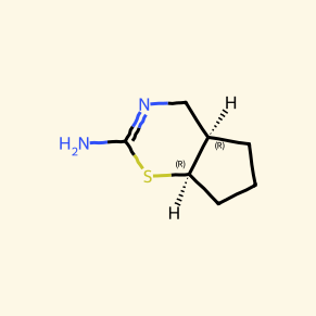 NC1=NC[C@H]2CCC[C@H]2S1